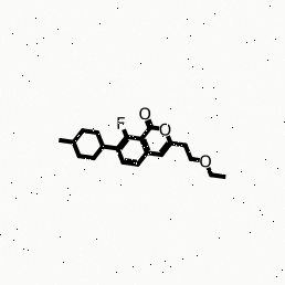 CCOCCc1cc2ccc(C3CCC(C)CC3)c(F)c2c(=O)o1